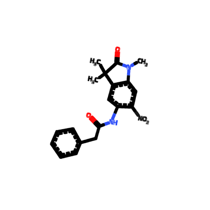 CN1C(=O)C(C)(C)c2cc(NC(=O)Cc3ccccc3)c([N+](=O)[O-])cc21